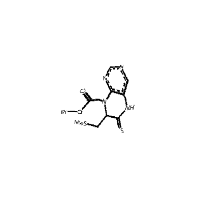 CSCC1C(=S)Nc2cncnc2N1C(=O)OC(C)C